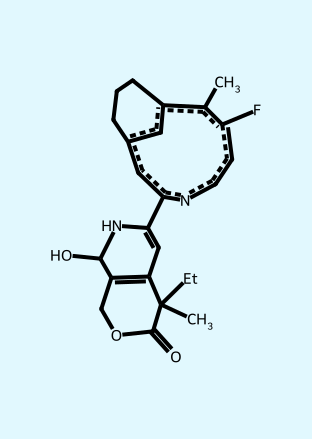 CCC1(C)C(=O)OCC2=C1C=C(c1cc3cc(c(C)c(F)ccn1)CCC3)NC2O